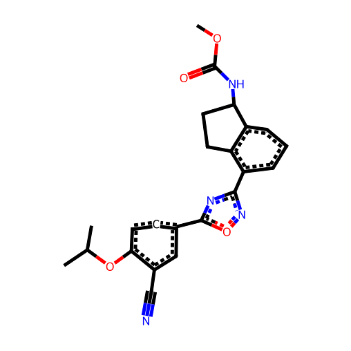 COC(=O)NC1CCc2c(-c3noc(-c4ccc(OC(C)C)c(C#N)c4)n3)cccc21